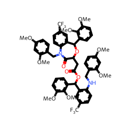 COc1ccc(CNc2ccc(C(F)(F)F)cc2C(OC(=O)CC2OC(c3cccc(OC)c3OC)c3cc(C(F)(F)F)ccc3N(Cc3ccc(OC)cc3OC)C2=O)c2cccc(OC)c2OC)c(OC)c1